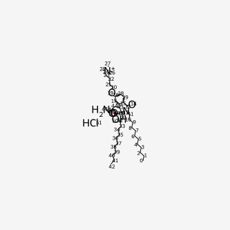 CCCCCCCCCCCCN(C(=O)c1ccc(OCCCC[N+](C)(C)C)cc1)[C@@](CCCCCCCCCCCC)(CCC(N)=O)C(=O)O.Cl